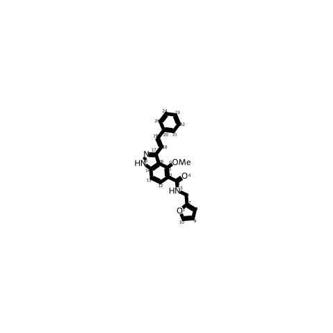 COc1c(C(=O)NCc2ccco2)ccc2[nH]nc(C=Cc3ccccc3)c12